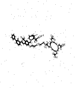 Cc1c(/C=C/c2cc(OCCOCCNC(=O)CN3CCN(CC(=O)O)CCN(CC(=O)O)CCN(CC(=O)O)CC3)c(CN3CCCC[C@H]3C(=O)O)cc2C(F)(F)F)cccc1-c1ccccc1